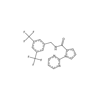 O=C(NCc1cc(C(F)(F)F)cc(C(F)(F)F)c1)c1cccn1-c1ncccn1